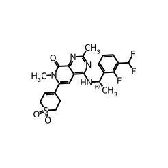 Cc1nc(N[C@H](C)c2cccc(C(F)F)c2F)c2cc(C3=CCS(=O)(=O)CC3)n(C)c(=O)c2n1